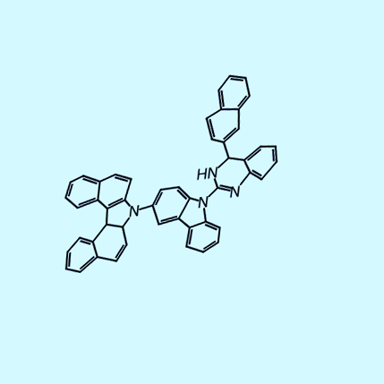 C1=CC2C(c3ccccc31)c1c(ccc3ccccc13)N2c1ccc2c(c1)c1ccccc1n2C1=Nc2ccccc2C(c2ccc3ccccc3c2)N1